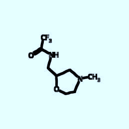 CN1CCOC(CNC(=O)C(F)(F)F)C1